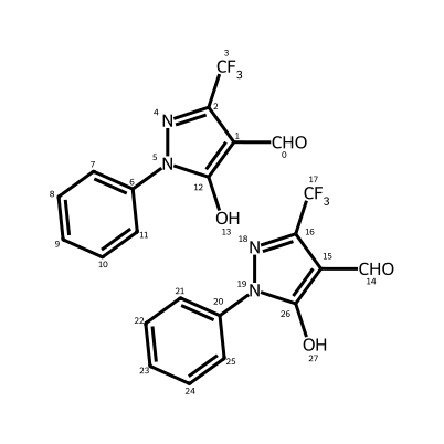 O=Cc1c(C(F)(F)F)nn(-c2ccccc2)c1O.O=Cc1c(C(F)(F)F)nn(-c2ccccc2)c1O